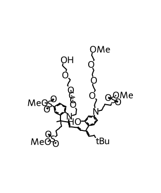 COCCOCCOCCOCCN(CCCS(=O)(=O)OC)c1ccc(C(=C\CC(C)(C)C)/C=C/C=C2\N(CCOCCOCCOCCO)c3ccc(S(=O)(=O)OC)cc3C2(C)CCCS(=O)(=O)OC)c(O)c1